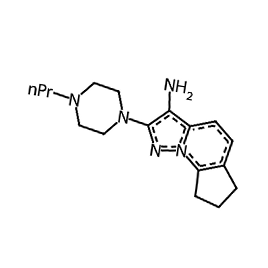 CCCN1CCN(c2nn3c4c(ccc3c2N)CCC4)CC1